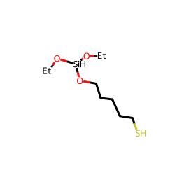 CCO[SiH](OCC)OCCCCCS